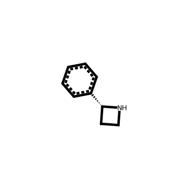 c1ccc([C@H]2CCN2)cc1